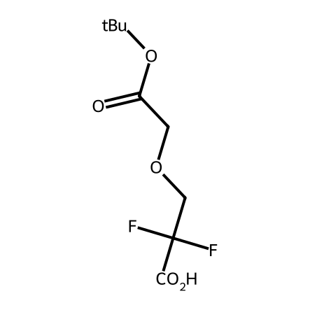 CC(C)(C)OC(=O)COCC(F)(F)C(=O)O